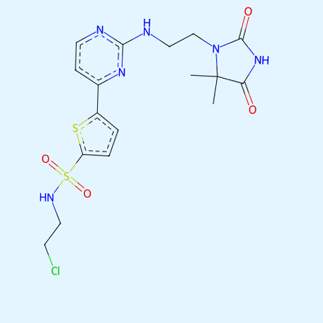 CC1(C)C(=O)NC(=O)N1CCNc1nccc(-c2ccc(S(=O)(=O)NCCCl)s2)n1